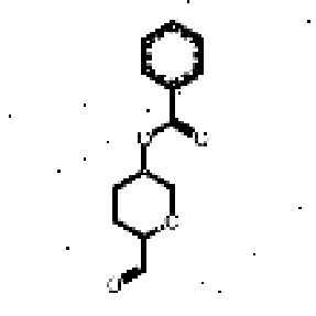 O=CC1CCC(OC(=O)c2ccccc2)CO1